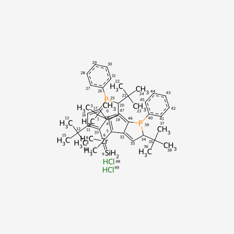 CC(C)(C)C1=[C]([Zr]([CH3])([CH3])(=[SiH2])[C]2=C(C(C)(C)C)C=C3C2=CC(C(C)(C)C)P3c2ccccc2)C2=CC(C(C)(C)C)P(c3ccccc3)C2=C1.Cl.Cl